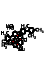 Cl.Cl.[CH2]=[Zr]([C]1=CC(C(C)(C)C)=CC1CCCC)([c]1cccc(Cl)c1)([c]1cccc(Cl)c1)[c]1c(-c2c(C)cc(C)cc2C)ccc2c1Cc1cc(-c3c(C)cc(C)cc3C)ccc1-2